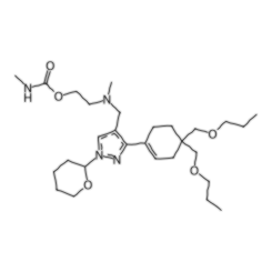 CCCOCC1(COCCC)CC=C(c2nn(C3CCCCO3)cc2CN(C)CCOC(=O)NC)CC1